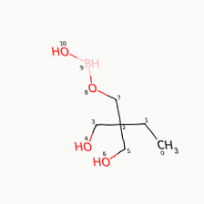 CCC(CO)(CO)COBO